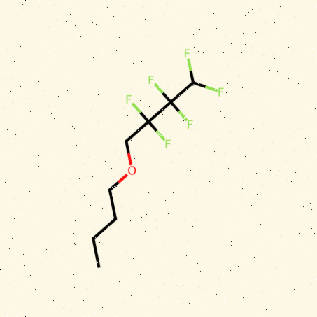 CCCCOCC(F)(F)C(F)(F)[C](F)F